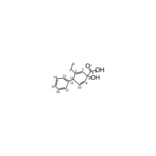 CCC1=CC(O)(C(=O)O)C=CC1c1ccccc1